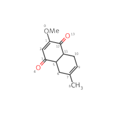 COC1=CC(=O)C2CC(C)=CCC2C1=O